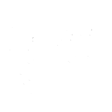 CN[C@H](CCC(N)=O)C(=O)O.CN[C@H](CCC(N)=O)C(=O)O.C[C@@H](O[C@H]1OCCN(Cc2nn([PH](=O)O)c(=O)[nH]2)[C@H]1c1ccc(F)cc1)c1cc(C(F)(F)F)cc(C(F)(F)F)c1